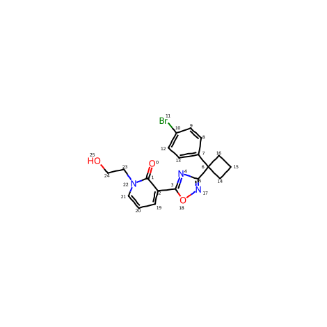 O=c1c(-c2nc(C3(c4ccc(Br)cc4)CCC3)no2)cccn1CCO